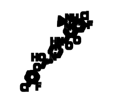 NC1(n2cc(C(=O)NN3CCN(C[C@@H](O)COc4ccc(Cl)c(F)c4)CC3)c(=O)c3cc(F)c(Cl)cc32)CC1